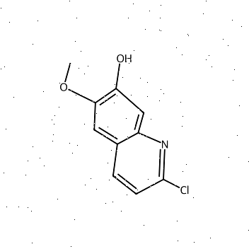 COc1cc2ccc(Cl)nc2cc1O